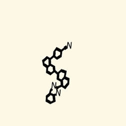 N#Cc1ccc(-c2cccc3ccc(-c4ccc5cccc(-c6ncc7ccccc7n6)c5c4)cc23)cc1